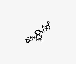 CC1(COc2cccc3c(NCc4ccco4)nc(Cl)nc23)CCC(=O)N1